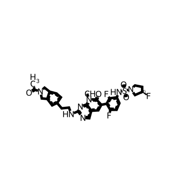 CC(=O)N1Cc2ccc(CCNc3ncc4cc(-c5c(F)ccc(NS(=O)(=O)N6CC[C@@H](F)C6)c5F)c(=O)n(C)c4n3)cc2C1